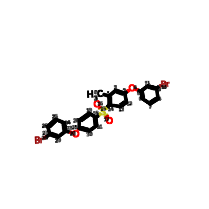 Cc1cc(Oc2cccc(Br)c2)ccc1S(=O)(=O)c1ccc(Oc2cccc(Br)c2)cc1